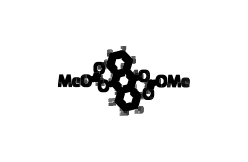 COC(=O)Oc1c2ccccc2c(OC(=O)OC)c2ccccc12